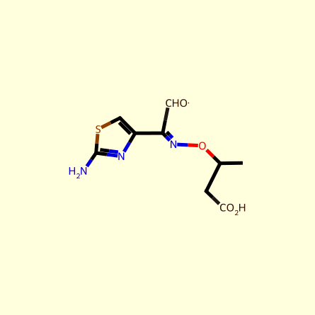 CC(CC(=O)O)O/N=C(\[C]=O)c1csc(N)n1